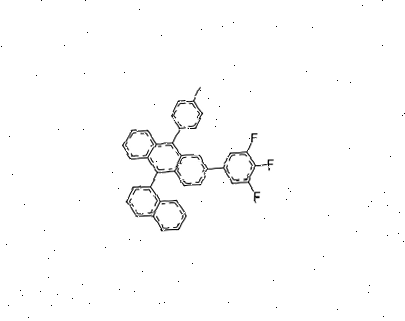 Cc1ccc(-c2c3ccccc3c(-c3cccc4ccccc34)c3ccc(-c4cc(F)c(F)c(F)c4)cc23)cc1